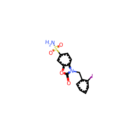 NS(=O)(=O)c1ccc2c(c1)oc(=O)n2Cc1ccccc1I